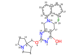 Oc1nc(OCC23CCCN2CCC3)nc2c1CCN(c1cccc3cccc(F)c13)C2